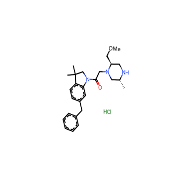 COC[C@H]1CN[C@H](C)CN1CC(=O)N1CC(C)(C)c2ccc(Cc3ccccc3)cc21.Cl